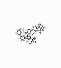 CCc1cc(OC2CCc3cccc(-c4cccc(-n5ncc(C(=O)O)c5CC)n4)c32)ccc1C1CCN(C(=O)C2(O)CCC2)CC1